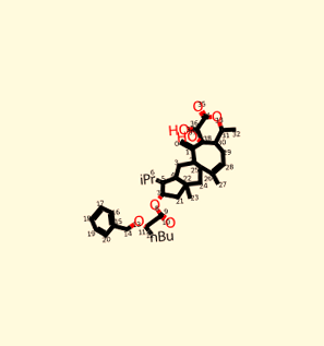 C=C1C2CC3C(C(C)C)C(OC(=O)C(CCCC)OCc4ccccc4)CC3(C)CC2C(C)=CCC2C(C)OC(=O)C(O)C12O